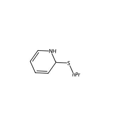 CCCS[C]1C=CC=CN1